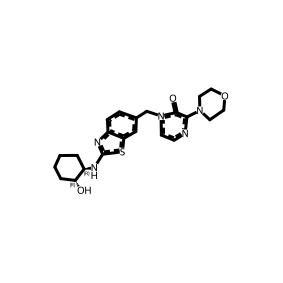 O=c1c(N2CCOCC2)nccn1Cc1ccc2nc(N[C@@H]3CCCC[C@H]3O)sc2c1